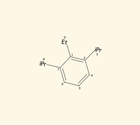 CCc1c(C(C)C)cccc1C(C)C